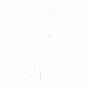 O=C(CCC1CC2CCCC(C2)C1)OCCC1CCC(NSC(F)(F)F)CC1